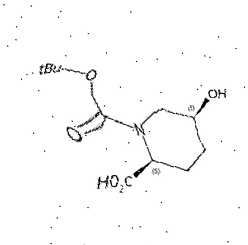 CC(C)(C)OC(=O)N1C[C@@H](O)CC[C@H]1C(=O)O